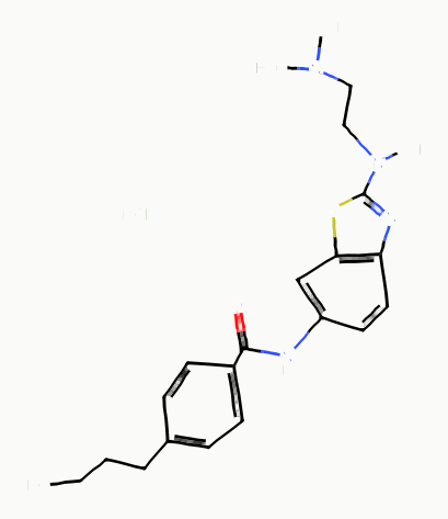 CCCCc1ccc(C(=O)Nc2ccc3nc(N(C)CCN(C)C)sc3c2)cc1.Cl